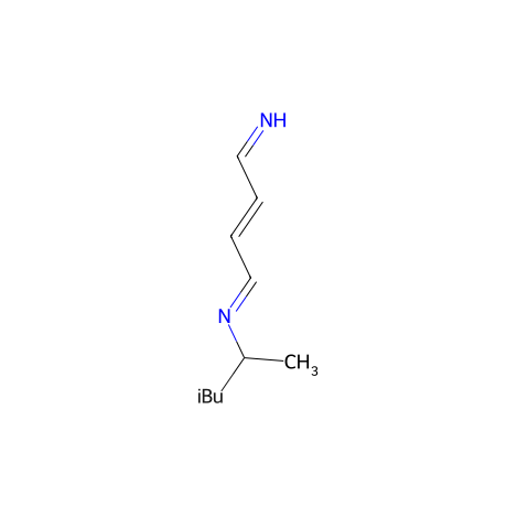 CCC(C)C(C)/N=C/C=C/C=N